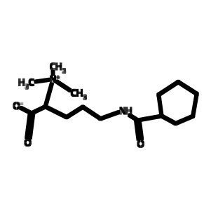 C[N+](C)(C)C(CCCNC(=O)C1CCCCC1)C(=O)[O-]